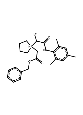 CCC(C(=O)Nc1c(C)cc(C)cc1C)[PH]1(CC(=O)OCc2ccccc2)CCCC1